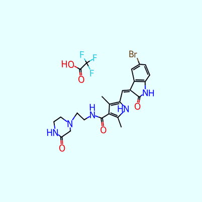 Cc1[nH]c(/C=C2\C(=O)Nc3ccc(Br)cc32)c(C)c1C(=O)NCCN1CCNC(=O)C1.O=C(O)C(F)(F)F